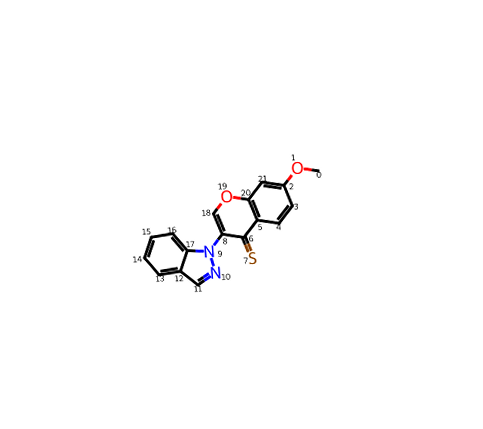 COc1ccc2c(=S)c(-n3ncc4ccccc43)coc2c1